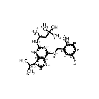 CC(CC(C)(C)O)Nc1nc(NCc2cc(F)ccc2O)c2ncn(C(C)C)c2n1